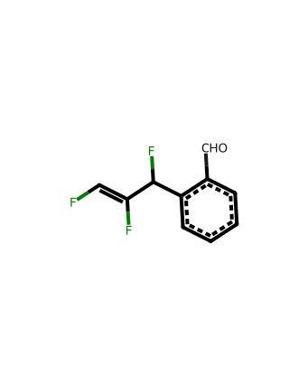 O=Cc1ccccc1C(F)C(F)=CF